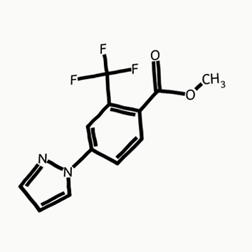 COC(=O)c1ccc(-n2cccn2)cc1C(F)(F)F